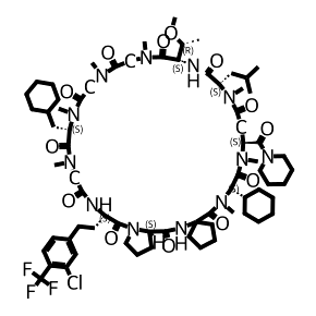 CO[C@H](C)[C@@H]1NC(=O)[C@H](CC(C)C)N(C)C(=O)C[C@@H](C(=O)N2CCCCC2)N(C)C(=O)[C@H](C2CCCCC2)N(C)C(=O)C2(CCCC2)NC(=O)[C@@H]2CCCN2C(=O)[C@H](CCc2ccc(C(F)(F)F)c(Cl)c2)NC(=O)CN(C)C(=O)[C@H](CC2CCCCC2)N(C)C(=O)CN(C)C(=O)CN(C)C1=O